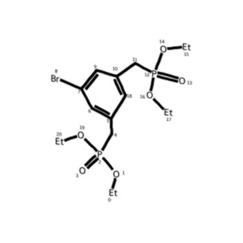 CCOP(=O)(Cc1cc(Br)cc(CP(=O)(OCC)OCC)c1)OCC